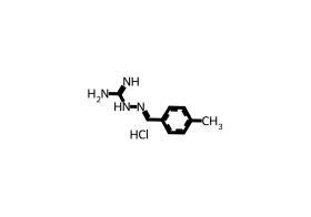 Cc1ccc(C=NNC(=N)N)cc1.Cl